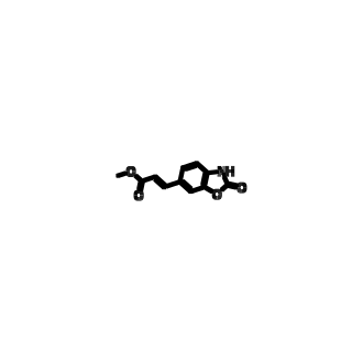 COC(=O)C=Cc1ccc2[nH]c(=O)oc2c1